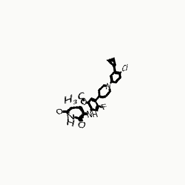 COc1cc(C2CCN(c3ccc(Cl)c(C4CC4)c3)CC2)c(F)cc1NC1CCC(=O)NC1=O